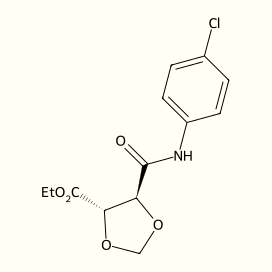 CCOC(=O)[C@H]1OCO[C@@H]1C(=O)Nc1ccc(Cl)cc1